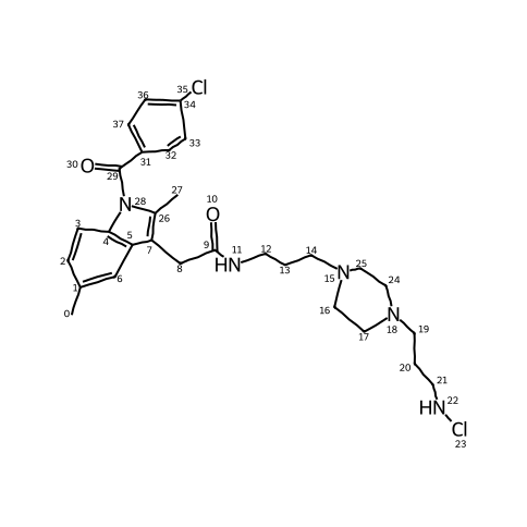 Cc1ccc2c(c1)c(CC(=O)NCCCN1CCN(CCCNCl)CC1)c(C)n2C(=O)c1ccc(Cl)cc1